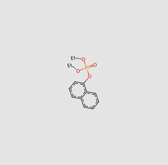 CCOP(=O)(OCC)Oc1cccc2ccccc12